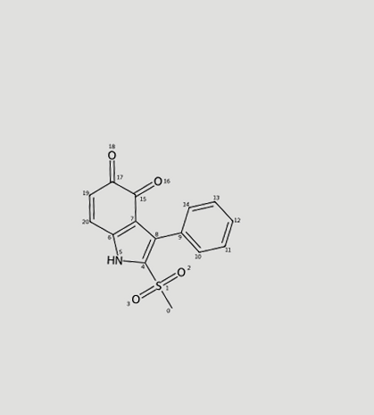 CS(=O)(=O)c1[nH]c2c(c1-c1ccccc1)C(=O)C(=O)C=C2